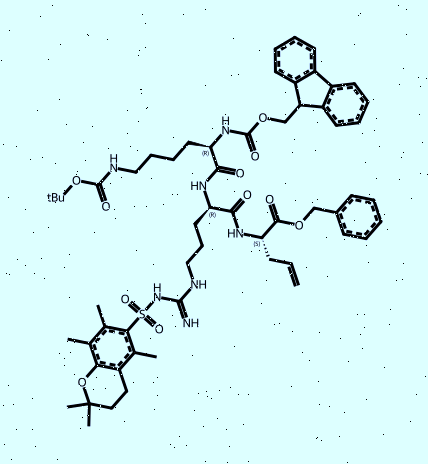 C=CC[C@H](NC(=O)[C@@H](CCCNC(=N)NS(=O)(=O)c1c(C)c(C)c2c(c1C)CCC(C)(C)O2)NC(=O)[C@@H](CCCCNC(=O)OC(C)(C)C)NC(=O)OCC1c2ccccc2-c2ccccc21)C(=O)OCc1ccccc1